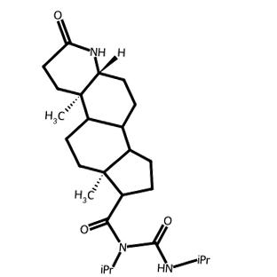 CC(C)NC(=O)N(C(=O)C1CCC2C3CC[C@H]4NC(=O)CC[C@]4(C)C3CC[C@]12C)C(C)C